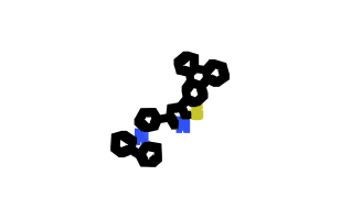 c1cc(-c2cnc3sc4cc5c6ccccc6c6ccccc6c5cc4c3c2)cc(-n2c3ccccc3c3ccccc32)c1